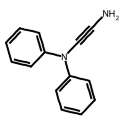 NC#CN(c1ccccc1)c1ccccc1